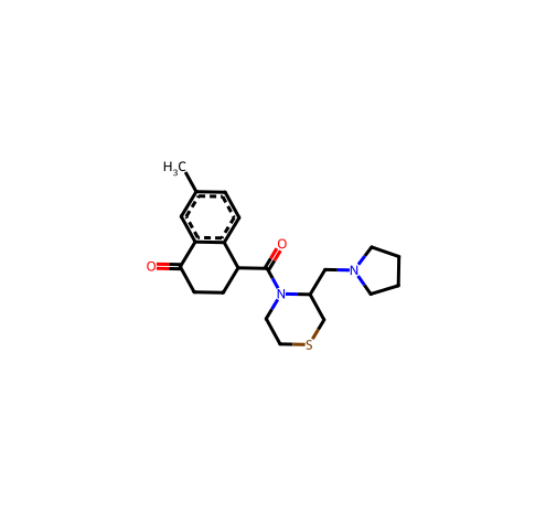 Cc1ccc2c(c1)C(=O)CCC2C(=O)N1CCSCC1CN1CCCC1